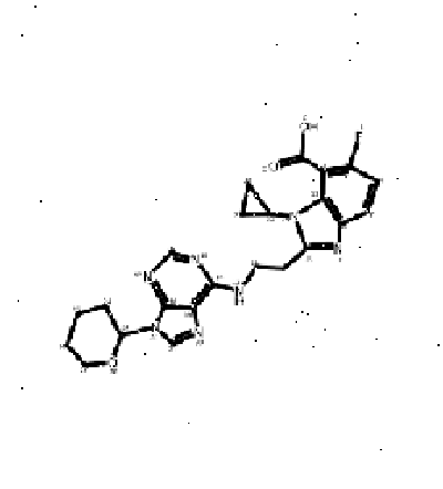 O=C(O)c1c(F)ccc2nc(CCNc3ncnc4c3ncn4C3CCCCO3)n(C3CC3)c12